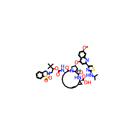 COc1ccc2c(O[C@@H]3C[C@H]4C(=O)N[C@]5(C(=O)O)CC5/C=C\CCCCC[C@H](NC(=O)OC(CN5Cc6ccccc6S5(=O)=O)C(C)(C)C)C(=O)N4C3)cc(-c3csc(NC(C)C)n3)nc2c1